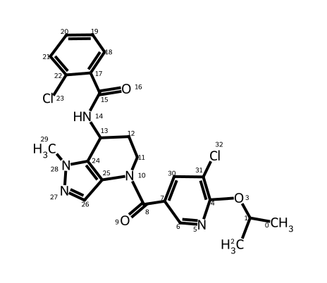 CC(C)Oc1ncc(C(=O)N2CCC(NC(=O)c3ccccc3Cl)c3c2cnn3C)cc1Cl